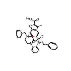 Cc1c(C(=O)O)oc2ccc(S(=O)(=O)N(CCc3ccccc3)c3ccccc3N3CCN(Cc4ccccc4)CC3)cc12